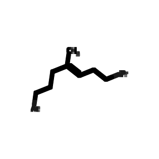 CC(=O)CCCC(C)=CCCC(C)C